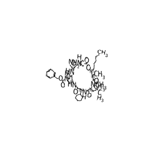 CCCCCC[C@@H]1OC(=O)CNC(=O)[C@H](CN)NC(=O)[C@H](CNC(=O)OCc2ccccc2)NC(=O)[C@H](C2CCCCC2)NC(=O)[C@H](CC(C)C)N(C)C(=O)[C@@H]1C